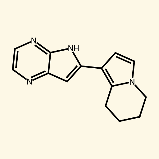 c1cnc2[nH]c(-c3ccn4c3CCCC4)cc2n1